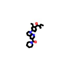 C=C(CC)C(=O)c1ccc(N2CCCc3cc(C(=O)N4CCCCCC4)cnc32)cc1CC